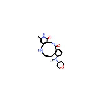 CCN(c1cccc2c1CC=CCNCc1cc(C)[nH]c(=O)c1CNC2=O)C1CCOCC1